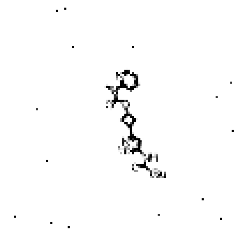 CN(C(=O)OC1CC(c2cc(NC(=O)C(C)(C)C)[nH]n2)C1)c1ccccn1